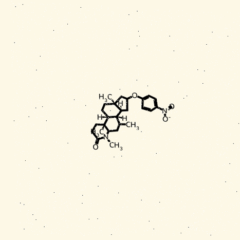 CC1CC2N(C)C(=O)CC[C@]2(C)[C@@H]2CC[C@]3(C)CC(Oc4ccc([N+](=O)[O-])cc4)C[C@H]3[C@H]12